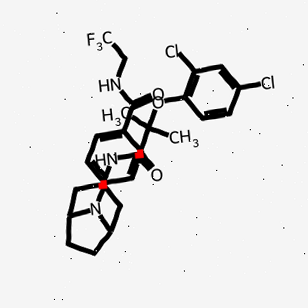 CC(C)(Oc1ccc(Cl)cc1Cl)C(=O)NC1CC2CCC(C1)N2c1ccc(C(=O)NCC(F)(F)F)cc1